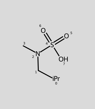 CC(C)CN(C)S(=O)(=O)O